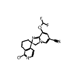 N#CC1=CN2C[C@@]3(CCCc4c3ccnc4Cl)N=C2C(OC(F)F)=C1